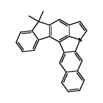 CC1(C)c2ccccc2-c2c1cc1ccn3c4cc5ccccc5cc4c2c13